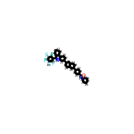 Fc1c(F)c(F)c(-c2nc3cc(-c4ccc5cc(-c6ccc(-c7nc8ccccc8o7)cc6)ccc5c4)ccc3c3ccccc23)c(F)c1F